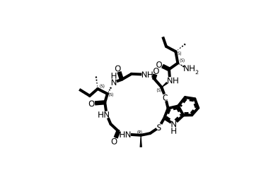 CC[C@H](C)[C@H](N)C(=O)N[C@H]1Cc2c([nH]c3ccccc23)SC[C@@H](C)NC(=O)CNC(=O)[C@H]([C@@H](C)CC)NC(=O)CNC1=O